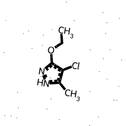 CCOc1n[nH]c(C)c1Cl